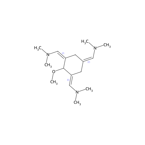 COC1/C(=C\N(C)C)C/C(=C\N(C)C)C/C1=C\N(C)C